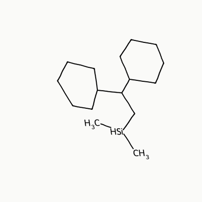 C[SiH](C)CC(C1CCCCC1)C1CCCCC1